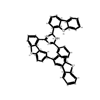 c1ccc(C2=NC(c3cccc4oc5ccc(-c6ccc7sc8ccccc8c7c6)cc5c34)=NC(c3cccc4c3oc3ccccc34)N2)cc1